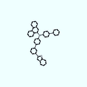 c1ccc(-c2ccc(N(c3ccc(-c4cccc(-c5cc6ccccc6o5)c4)cc3)c3cc4ccccc4c4ccccc34)cc2)cc1